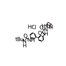 CC(C)(C)NC(=O)Nc1cccc(-c2cccc3cc(C(=O)N[C@H]4CN5CCC4CC5)oc23)c1.Cl